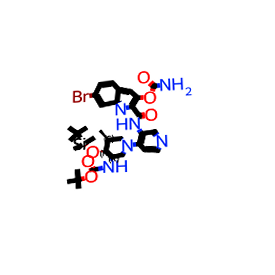 C[C@H]1CN(c2ccncc2NC(=O)c2nc3cc(Br)ccc3cc2OC(N)=O)C[C@@H](NC(=O)OC(C)(C)C)[C@@H]1O[Si](C)(C)C(C)(C)C